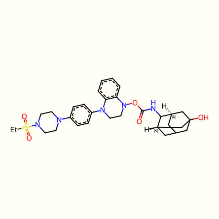 CCS(=O)(=O)N1CCN(c2ccc(N3CCN(OC(=O)NC4[C@@H]5CC6C[C@H]4CC(O)(C6)C5)c4ccccc43)cc2)CC1